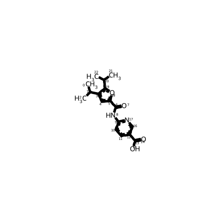 CC(C)c1cc(C(=O)Nc2ccc(C(=O)O)cn2)oc1C(C)C